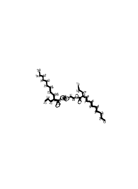 CCCCCCCCCC(CCC)C(=O)OCCOOC(=O)C(CCC)CCCCCCCCC